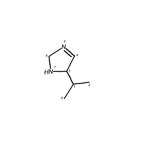 CC(C)C1C=NCN1